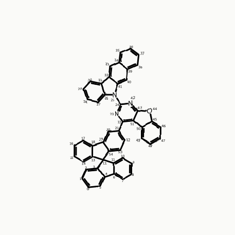 c1ccc2c(c1)-c1ccccc1C21c2ccccc2-c2cc(-c3nc(-n4c5ccccc5c5cc6ccccc6cc54)nc4oc5ccccc5c34)ccc21